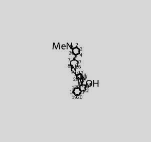 CNc1cccc(C2CCN(Cc3cnn([C@@H]4c5ccccc5C[C@H]4O)c3)CC2)c1